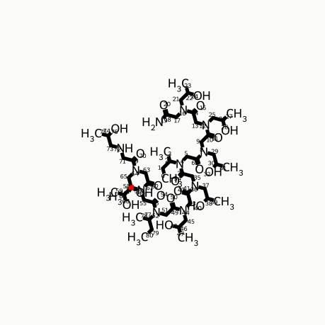 CCC(C)N(CC(=O)N(CC(=O)N(CC(=O)N(CC(N)=O)CC(C)O)CC(C)O)CC(C)O)C(=O)CN(CC(C)O)C(=O)CN(CC(C)O)C(=O)CN(C(=O)CN(CC(C)O)C(=O)CN(CC(C)O)C(=O)CNCC(C)O)C(C)CC